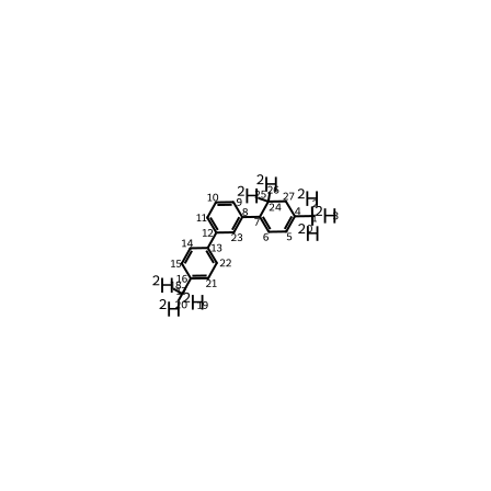 [2H]C([2H])([2H])C1=CC=C(c2cccc(-c3ccc(C([2H])([2H])[2H])cc3)c2)C([2H])([2H])C1